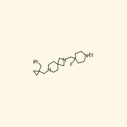 CCN1CCC(F)(CN2CC3(CCN(CC4(CC(C)C)CC4)CC3)C2)CC1